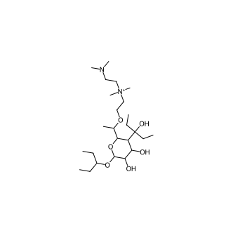 CCC(CC)OC1OC(C(C)OCC[N+](C)(C)CCN(C)C)C(C(O)(CC)CC)C(O)C1O